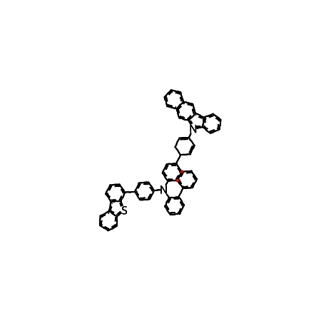 C1=CC(c2ccc(N(c3ccc(-c4cccc5c4sc4ccccc45)cc3)c3ccccc3-c3ccccc3)cc2)CC=C1n1c2ccccc2c2cc3ccccc3cc21